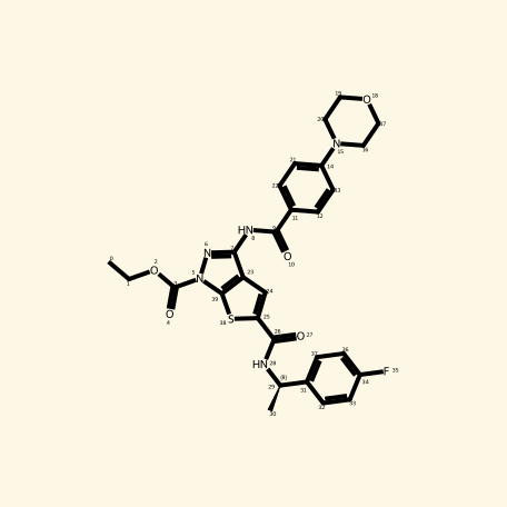 CCOC(=O)n1nc(NC(=O)c2ccc(N3CCOCC3)cc2)c2cc(C(=O)N[C@H](C)c3ccc(F)cc3)sc21